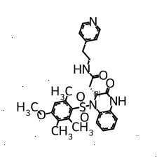 COc1cc(C)c(S(=O)(=O)N2c3ccccc3NC(=O)[C@H]2CC(=O)NCCc2ccncc2)c(C)c1C